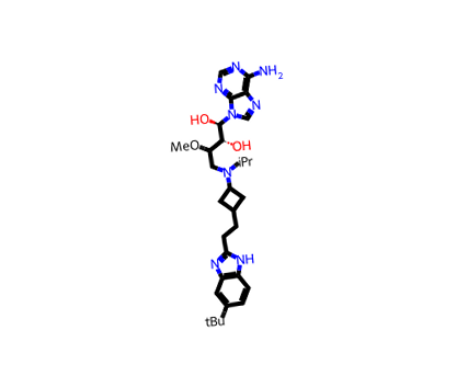 COC(CN(C(C)C)C1CC(CCc2nc3cc(C(C)(C)C)ccc3[nH]2)C1)[C@@H](O)[C@@H](O)n1cnc2c(N)ncnc21